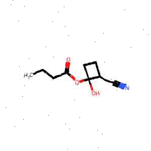 CCCC(=O)OC1(O)CCC1C#N